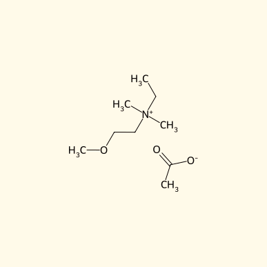 CC(=O)[O-].CC[N+](C)(C)CCOC